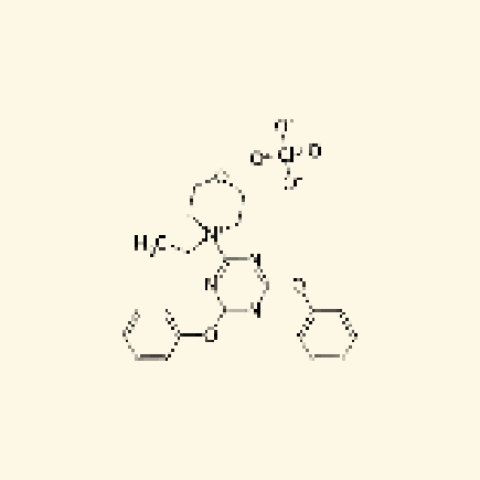 CC[N+]1(c2nc(Oc3ccccc3)nc(Oc3ccccc3)n2)CCOCC1.[O-][Cl+3]([O-])([O-])[O-]